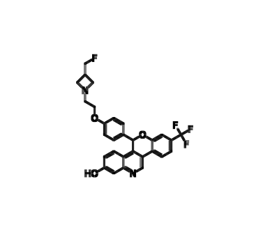 Oc1ccc2c3c(cnc2c1)-c1ccc(C(F)(F)F)cc1OC3c1ccc(OCCN2CC(CF)C2)cc1